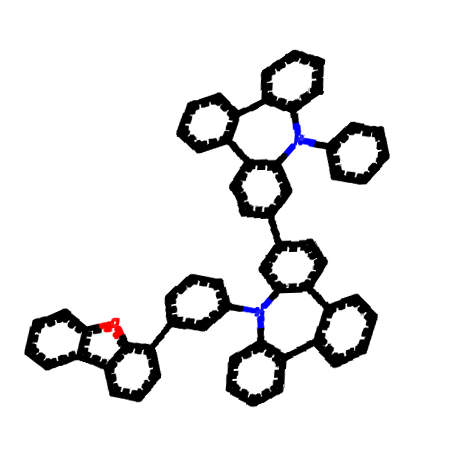 c1ccc(N2c3ccccc3-c3ccccc3-c3ccc(-c4ccc5c(c4)N(c4cccc(-c6cccc7c6oc6ccccc67)c4)c4ccccc4-c4ccccc4-5)cc32)cc1